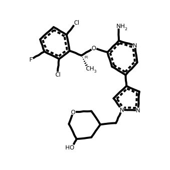 C[C@@H](Oc1cc(-c2cnn(CC3COCC(O)C3)c2)cnc1N)c1c(Cl)ccc(F)c1Cl